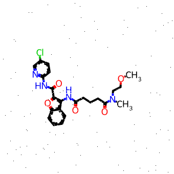 COCCN(C)C(=O)CCCC(=O)Nc1c(C(=O)Nc2ccc(Cl)cn2)oc2ccccc12